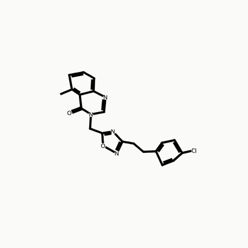 Cc1cccc2ncn(Cc3nc(CCc4ccc(Cl)cc4)no3)c(=O)c12